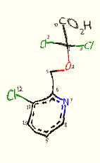 O=C(O)C(Cl)(Cl)OCc1ncccc1Cl